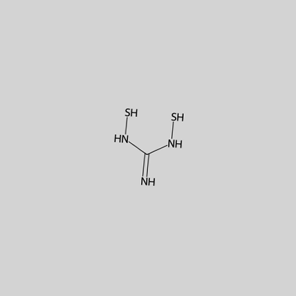 N=C(NS)NS